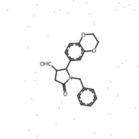 O=CC1CC(=O)N(Cc2ccccc2)C1c1ccc2c(c1)OCCO2